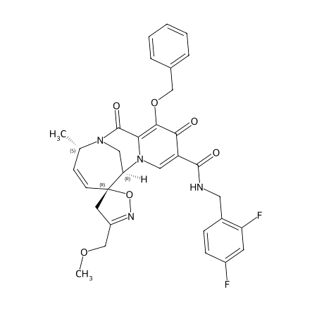 COCC1=NO[C@@]2(C=C[C@H](C)N3C[C@H]2n2cc(C(=O)NCc4ccc(F)cc4F)c(=O)c(OCc4ccccc4)c2C3=O)C1